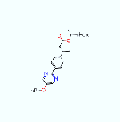 CCCCCCC(C)OC(=O)CC(C)c1ccc(-c2ncc(OCCC)cn2)cc1